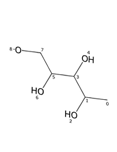 CC(O)C(O)C(O)C[O]